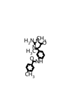 Cc1ccc(C(=O)Nc2cccc(C3(C)CC(=O)N(C)C(N)=N3)c2)cc1